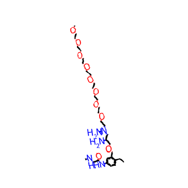 CCc1ccc(NC(=O)CNC)cc1COC/C(N)=C/N(N)CCOCCOCCOCCOCCOCCOCCOCCOC